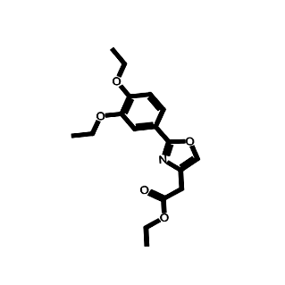 CCOC(=O)Cc1coc(-c2ccc(OCC)c(OCC)c2)n1